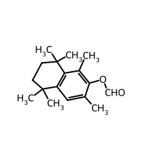 Cc1cc2c(c(C)c1OC=O)C(C)(C)CCC2(C)C